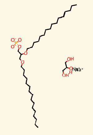 CCCCCCCCCCCCCCCCOCC(COP(=O)([O-])[O-])OCCCCCCCCCCCCCCCC.OCC(O)CO.[Na+].[Na+]